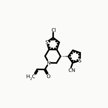 C=CC(=O)N1Cc2sc(Cl)cc2[C@H](c2ccsc2C#N)C1